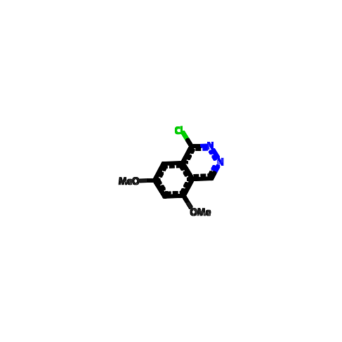 COc1cc(OC)c2cnnc(Cl)c2c1